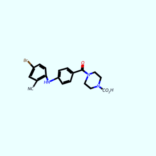 N#Cc1cc(Br)ccc1Nc1ccc(C(=O)N2CCN(C(=O)O)CC2)cc1